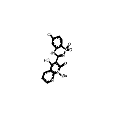 CCCCn1c(=O)c(C2=NS(=O)(=O)c3ccc(Cl)cc3N2)c(O)c2cccnc21